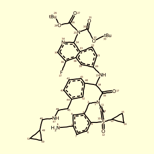 CN(Cc1cc(N)ccc1S(=O)(=O)C1CC1)C(=O)C(Nc1ccc2c(N(C(=O)OC(C)(C)C)C(=O)OC(C)(C)C)ncc(F)c2c1)c1cccc(CCNCC2CC2)c1